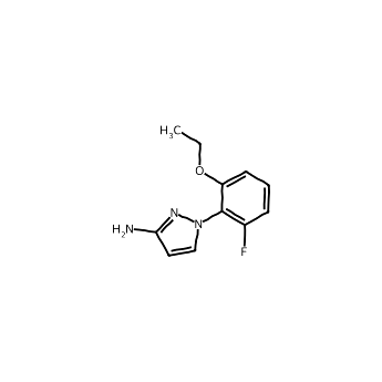 CCOc1cccc(F)c1-n1ccc(N)n1